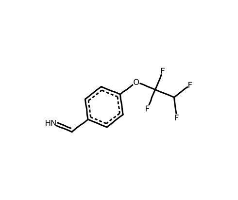 N=Cc1ccc(OC(F)(F)C(F)F)cc1